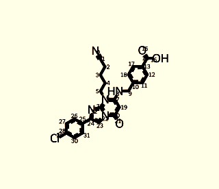 N#CCCCCn1c(NCc2ccc(C(=O)O)cc2)cc(=O)n2cc(-c3ccc(Cl)cc3)nc12